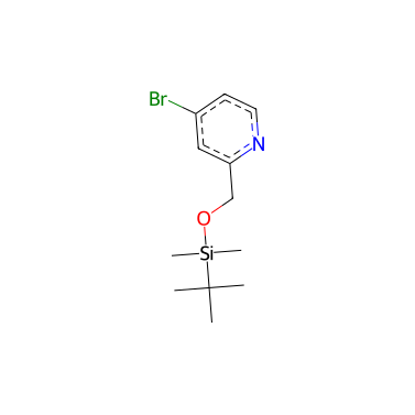 CC(C)(C)[Si](C)(C)OCc1cc(Br)ccn1